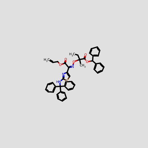 C=CCOC(=O)C(=NOC(C)(CC)C(=O)OC(c1ccccc1)c1ccccc1)c1csc(NC(c2ccccc2)(c2ccccc2)c2ccccc2)n1